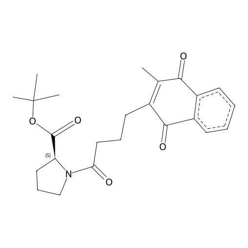 CC1=C(CCCC(=O)N2CCC[C@H]2C(=O)OC(C)(C)C)C(=O)c2ccccc2C1=O